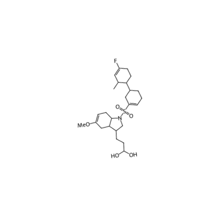 COC1=CCC2C(C1)C(CCC(O)O)CN2S(=O)(=O)C1=CCCC(C2CCC(F)=CC2C)C1